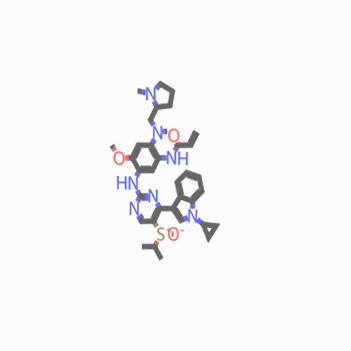 C=CC(=O)Nc1cc(Nc2ncc([S+]([O-])C(C)C)c(-c3cn(C4CC4)c4ccccc34)n2)c(OC)cc1N(C)CC1CCCN1C